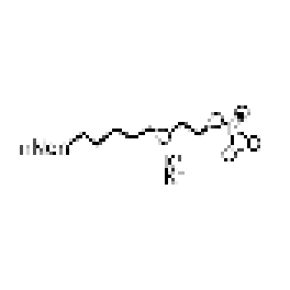 CCCCCCCCCCCCCCOCCOP(=O)([O-])[O-].[K+].[K+]